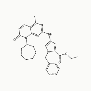 CCOC(=O)c1cc(Nc2nc(C)c3ccc(=O)n(C4CCCCCC4)c3n2)cn1Cc1ccccc1